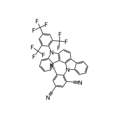 N#Cc1cc(C#N)c(-n2c3ccccc3c3ccc4c(c5ccccc5n4-c4c(C(F)(F)F)cc(C(F)(F)F)cc4C(F)(F)F)c32)c(C#N)c1